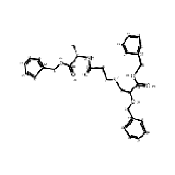 C[C@@H](NC(=O)CCSCC(OCc1ccccc1)C(=O)OCc1ccccc1)C(=O)OCc1ccccc1